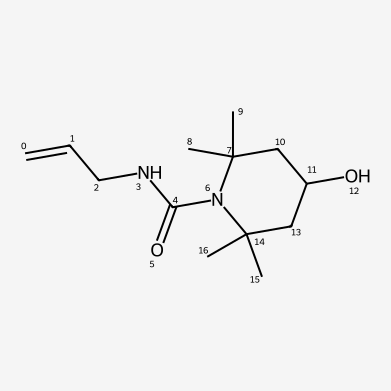 C=CCNC(=O)N1C(C)(C)CC(O)CC1(C)C